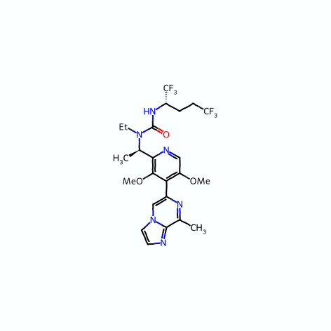 CCN(C(=O)N[C@@H](CCC(F)(F)F)C(F)(F)F)[C@H](C)c1ncc(OC)c(-c2cn3ccnc3c(C)n2)c1OC